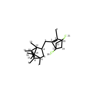 CC1=C(CC2CC3(C)C(C)=C(C)C2(C)C3(C)C)C2(F)CC1(F)C2